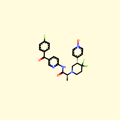 C[C@@H](C(=O)Nc1ccc(C(=O)c2ccc(F)cc2)cn1)N1CCC(F)(F)[C@@H](c2cc[n+]([O-])cc2)C1